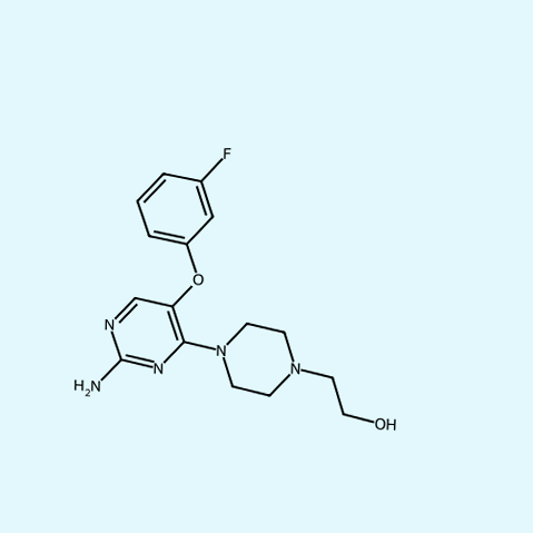 Nc1ncc(Oc2cccc(F)c2)c(N2CCN(CCO)CC2)n1